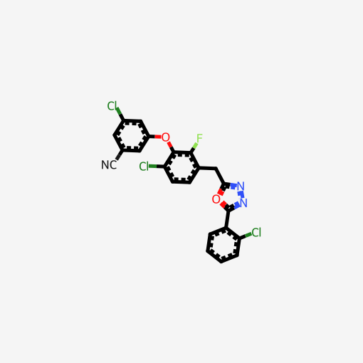 N#Cc1cc(Cl)cc(Oc2c(Cl)ccc(Cc3nnc(-c4ccccc4Cl)o3)c2F)c1